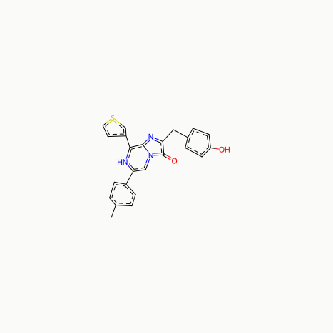 Cc1ccc(-c2cn3c(=O)c(Cc4ccc(O)cc4)nc-3c(-c3ccsc3)[nH]2)cc1